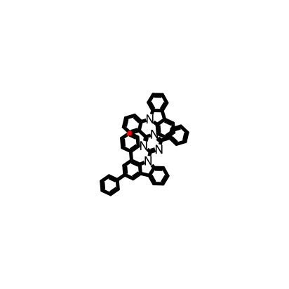 c1ccc(-c2cc(-c3ccccc3)c3c(c2)c2ccccc2n3-c2nc(-c3ccccc3)nc(-c3ccccc3-n3c4ccccc4c4ccccc43)n2)cc1